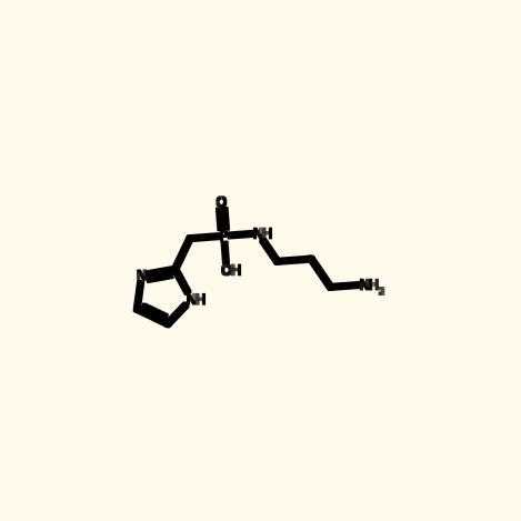 NCCCNP(=O)(O)Cc1ncc[nH]1